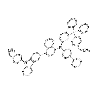 C=Cc1ccc(-n2c3ccccc3c3cc(-c4ccc(N(c5ccc(-c6ccccc6)cc5)c5ccc6c(c5)C(c5ccccc5)(c5ccc(C=C)cc5)c5ccccc5-6)c5ccccc45)ccc32)cc1